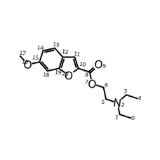 CCN(CC)CCOC(=O)c1cc2ccc(OC)cc2o1